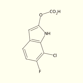 O=C(O)Oc1cc2ccc(F)c(Cl)c2[nH]1